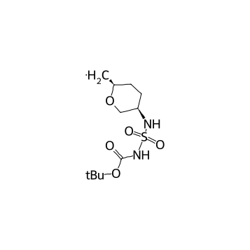 [CH2][C@H]1CC[C@@H](NS(=O)(=O)NC(=O)OC(C)(C)C)CO1